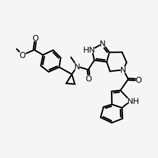 COC(=O)c1ccc(C2(N(C)C(=O)c3[nH]nc4c3CN(C(=O)c3cc5ccccc5[nH]3)CC4)CC2)cc1